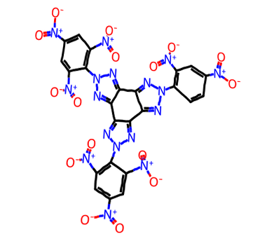 O=[N+]([O-])c1ccc(-n2nc3c(n2)c2nn(-c4c([N+](=O)[O-])cc([N+](=O)[O-])cc4[N+](=O)[O-])nc2c2nn(-c4c([N+](=O)[O-])cc([N+](=O)[O-])cc4[N+](=O)[O-])nc32)c([N+](=O)[O-])c1